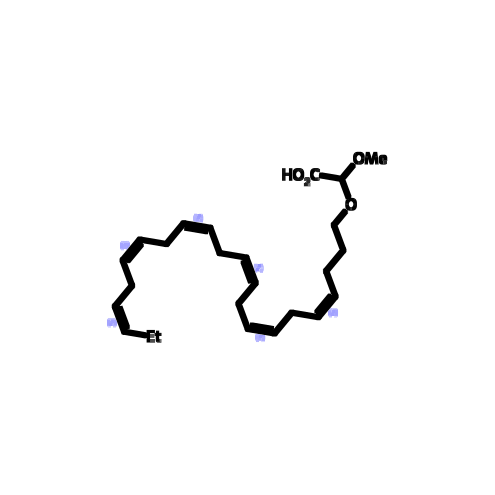 CC/C=C\C/C=C\C/C=C\C/C=C\C/C=C\C/C=C\CCCOC(OC)C(=O)O